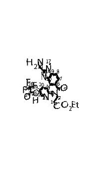 CCOC(=O)CCN(C(=O)c1ccc2c(c1)nc(CN)n2C)c1ccccn1.O=C(O)C(F)(F)F